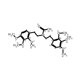 COc1ccc(CCN(CCc2ccc(OC)c(OC)c2OC)C(C)=O)c(OC)c1OC